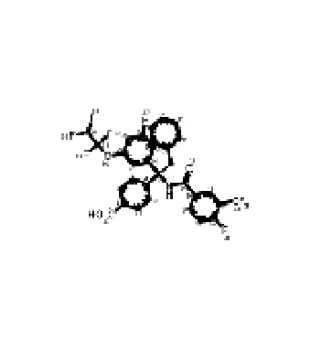 O=C(O)c1ccc([C@@](Cc2ccccc2)(NC(=O)c2ccc(F)c(C(F)(F)F)c2)c2cc(F)cc(OC(F)(F)C(F)F)c2)cc1